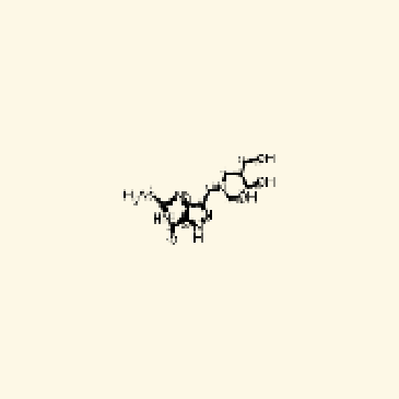 O=c1[nH]c([AsH2])nc2c(CN(CO)CC(CO)CO)n[nH]c12